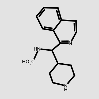 O=C(O)NC(c1nccc2ccccc12)C1CCNCC1